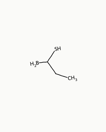 BC(S)CC